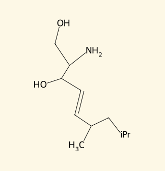 CC(C)CC(C)/C=C/C(O)C(N)CO